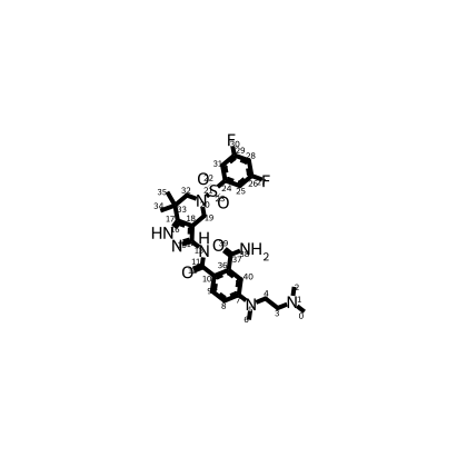 CN(C)CCN(C)c1ccc(C(=O)Nc2n[nH]c3c2CN(S(=O)(=O)c2cc(F)cc(F)c2)CC3(C)C)c(C(N)=O)c1